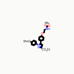 CCOC(=O)c1cc(-c2ccc(OCCNC(=O)OC(C)(C)C)cc2)n(-c2ccc(OC)cc2)n1